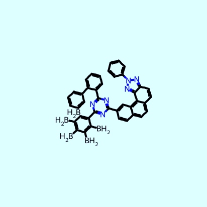 Bc1c(B)c(B)c(-c2nc(-c3ccc4ccc5ccc6nn(-c7ccccc7)nc6c5c4c3)nc(-c3ccccc3-c3ccccc3)n2)c(B)c1B